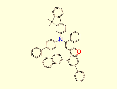 CC1(C)c2ccccc2-c2ccc(N(c3ccc(-c4ccccc4)cc3)c3cc4c(oc5cc(-c6ccccc6)cc(-c6ccc7ccccc7c6)c54)c4ccccc34)cc21